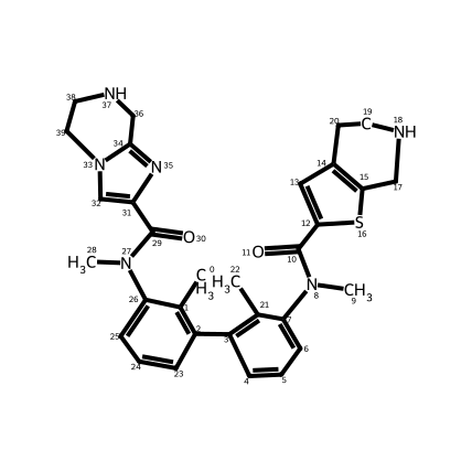 Cc1c(-c2cccc(N(C)C(=O)c3cc4c(s3)CNCC4)c2C)cccc1N(C)C(=O)c1cn2c(n1)CNCC2